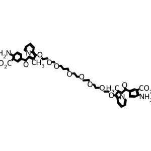 Cc1c(OCCOCCOCCOCCOCCCOCOCCOc2c(C)c(C(=O)c3ccc(N)c(C(=O)O)c3)n3ccccc23)c2ccccn2c1C(=O)c1ccc(N)c(C(=O)O)c1